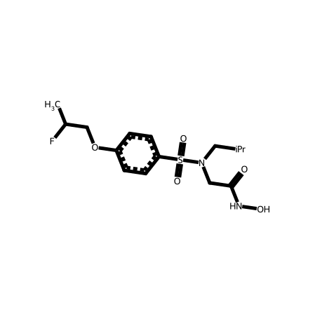 CC(C)CN(CC(=O)NO)S(=O)(=O)c1ccc(OCC(C)F)cc1